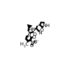 Cc1ccn([C@@H](CC2CC2)C(=O)NC(C#N)C[C@@H]2CCNC2=O)c(=O)c1[N+](=O)[O-]